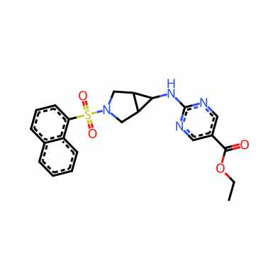 CCOC(=O)c1cnc(NC2C3CN(S(=O)(=O)c4cccc5ccccc45)CC32)nc1